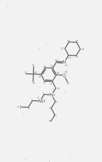 CCCCN(CNCCI)Cc1cc(C(C)(C)C)cc(/C=N/C2CCCCC2)c1OC